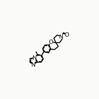 Cc1c(-c2ccc3c(c2)CCC2(CCN(C=O)CC2)O3)ccc2nccn12